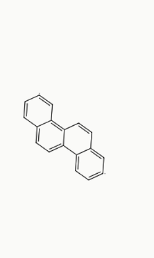 [c]1ccc2c(c1)ccc1c3c[c]ccc3ccc21